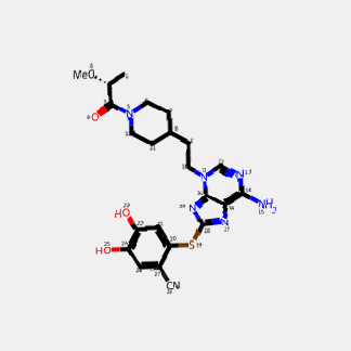 CO[C@H](C)C(=O)N1CCC(CCn2cnc(N)c3nc(Sc4cc(O)c(O)cc4C#N)nc2-3)CC1